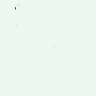 N[C@@H]1CCN(C(=O)CCc2cn3c(C(=O)NCC45CC6CC(CC(C6)C4)C5)cccc3n2)C1